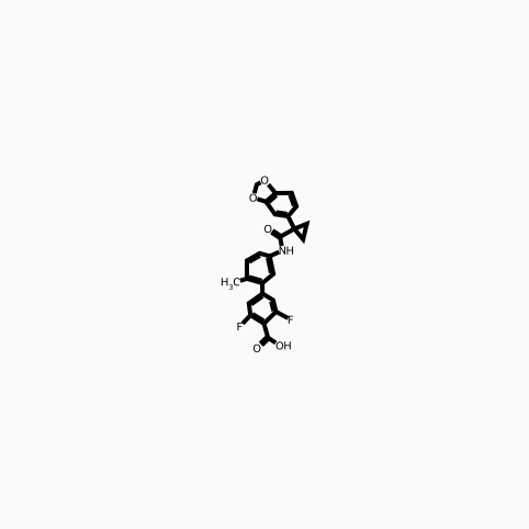 Cc1ccc(NC(=O)C2(c3ccc4c(c3)OCO4)CC2)cc1-c1cc(F)c(C(=O)O)c(F)c1